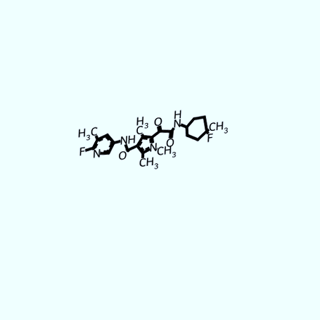 Cc1cc(NC(=O)c2c(C)c(C(=O)C(=O)NC3CCC(C)(F)CC3)n(C)c2C)cnc1F